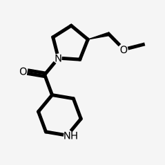 COC[C@@H]1CCN(C(=O)C2CCNCC2)C1